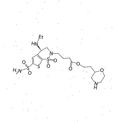 CCN[C@H]1CN(CCCC(=O)OCCC2CNCCO2)S(=O)(=O)c2sc(S(N)(=O)=O)cc21